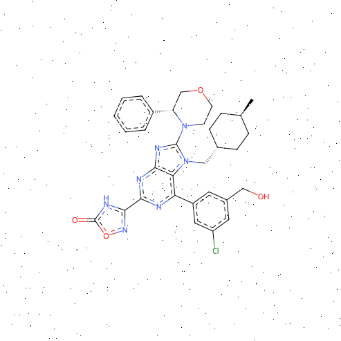 C[C@H]1CC[C@H](Cn2c(N3CCOC[C@H]3c3ccccc3)nc3nc(-c4noc(=O)[nH]4)nc(-c4cc(Cl)cc(CO)c4)c32)CC1